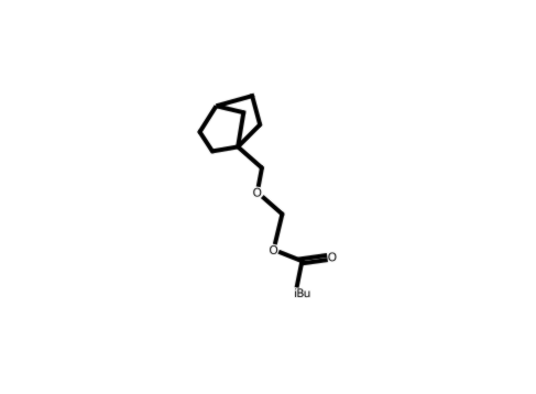 CCC(C)C(=O)OCOCC12CCC(CC1)C2